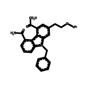 CCCOCCc1cc(C(=O)C(=O)O)c2c3c(C(N)=O)cccc3n(Cc3ccccc3)c2c1